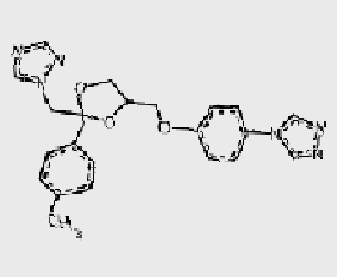 Cc1ccc(C2(Cn3cncn3)OCC(COc3ccc(-n4cnnc4)cc3)O2)cc1